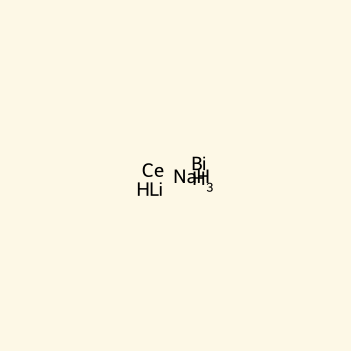 [BiH3].[Ce].[LiH].[NaH]